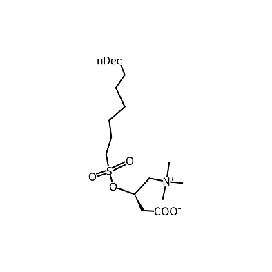 CCCCCCCCCCCCCCCCS(=O)(=O)O[C@H](CC(=O)[O-])C[N+](C)(C)C